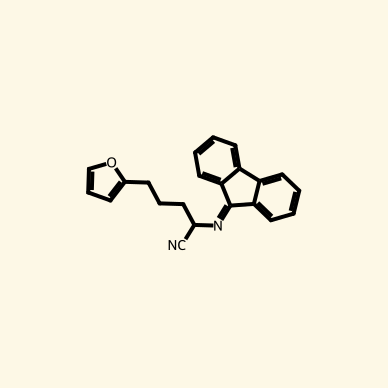 N#CC(CCCc1ccco1)N=C1c2ccccc2-c2ccccc21